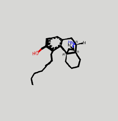 CCCCCc1c(O)ccc2c1[C@@]13CCCC[C@H]1[C@@H](C2)NCC3